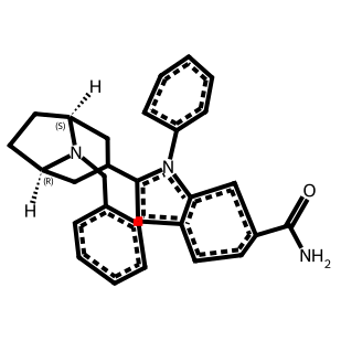 NC(=O)c1ccc2cc(C3C[C@H]4CC[C@@H](C3)N4Cc3ccccc3)n(-c3ccccc3)c2c1